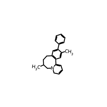 Cc1cc2c(cc1-c1ccccc1)CCC(C)CN1CC=CC=C21